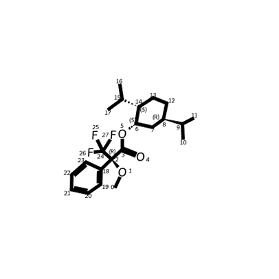 CO[C@@](C(=O)O[C@H]1C[C@H](C(C)C)CC[C@H]1C(C)C)(c1ccccc1)C(F)(F)F